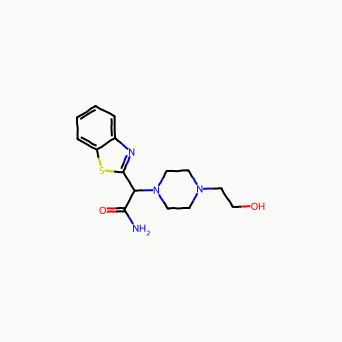 NC(=O)C(c1nc2ccccc2s1)N1CCN(CCO)CC1